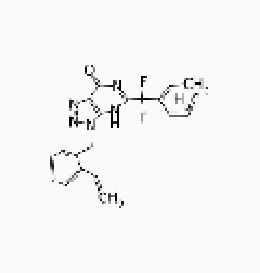 C=Cc1ccccc1Cn1nnc2c(=O)nc(C(F)(F)C(/C=C\C)=C/C)[nH]c21